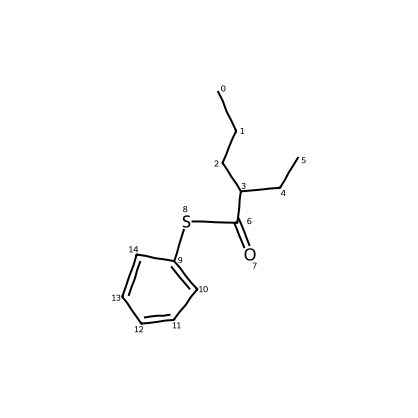 CCCC(CC)C(=O)Sc1ccccc1